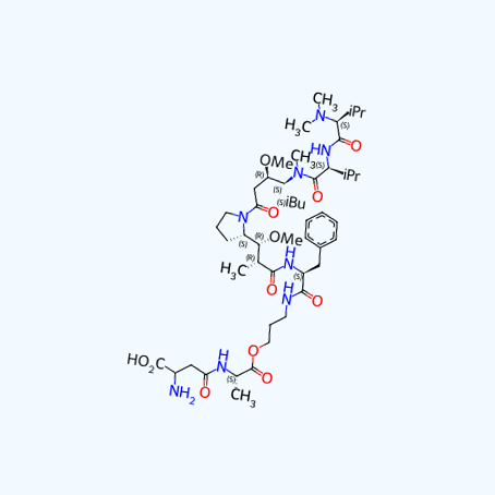 CC[C@H](C)[C@@H]([C@@H](CC(=O)N1CCC[C@H]1[C@H](OC)[C@@H](C)C(=O)N[C@@H](Cc1ccccc1)C(=O)NCCCOC(=O)[C@H](C)NC(=O)CC(N)C(=O)O)OC)N(C)C(=O)[C@@H](NC(=O)[C@H](C(C)C)N(C)C)C(C)C